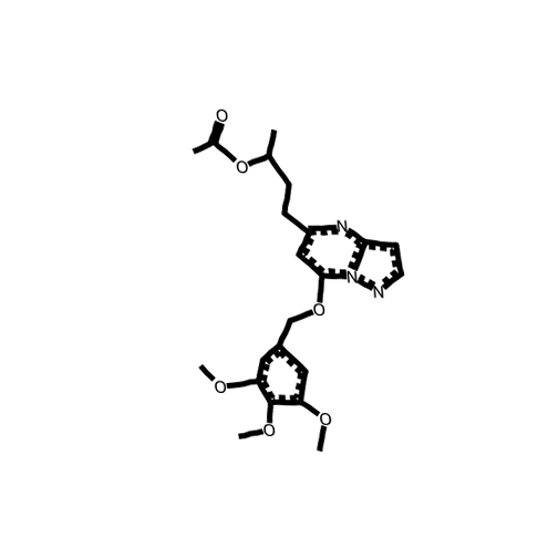 COc1cc(COc2cc(CCC(C)OC(C)=O)nc3ccnn23)cc(OC)c1OC